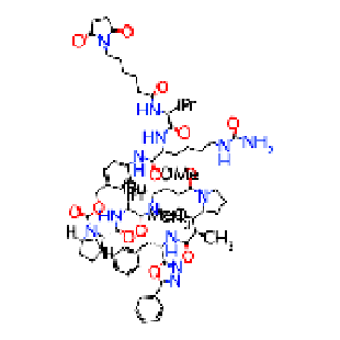 CC[C@H](C)[C@@H]([C@@H](CC(=O)N1CCC[C@H]1[C@H](OC)[C@@H](C)C(=O)N[C@@H](Cc1ccccc1)c1nnc(-c2ccccc2)o1)OC)N(C)C(=O)[C@@H](NC(=O)[C@@H]1[C@H]2CC[C@H](C2)N1C(=O)OCc1ccc(NC(=O)[C@H](CCCCNC(N)=O)NC(=O)[C@@H](NC(=O)CCCCCN2C(=O)C=CC2=O)C(C)C)cc1)C(C)C